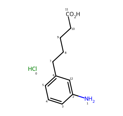 Cl.Nc1cccc(CCCCC(=O)O)c1